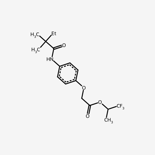 CCC(C)(C)C(=O)Nc1ccc(OCC(=O)OC(C)C(F)(F)F)cc1